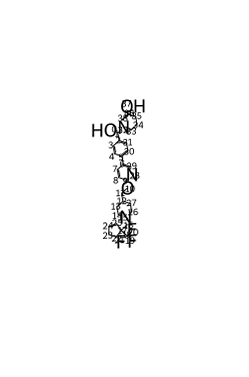 OC(c1ccc(-c2ccc(OCC3CCN(CC4(C(F)(F)F)CCCC4)CC3)nc2)cc1)N1CCC[C@@H](O)C1